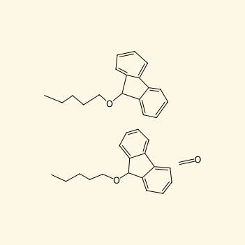 C=O.CCCCCOC1c2ccccc2-c2ccccc21.CCCCCOC1c2ccccc2-c2ccccc21